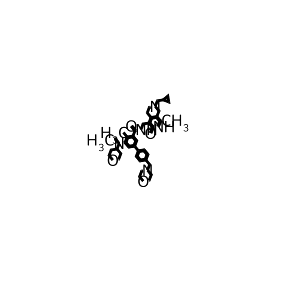 CCN(c1cc(-c2ccc(CN3CCOCC3)cc2)cc(C(=O)NCc2c3c(c(C)[nH]c2=O)CN(CC2CC2)CC3)c1C)C1CCOCC1